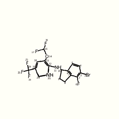 Fc1c(Br)ccc2c1CCC2NC1=C(OC(F)F)C=C(C(F)(F)F)CN1